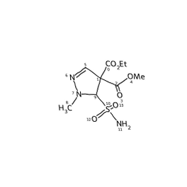 CCOC(=O)C1(C(=O)OC)C=NN(C)C1S(N)(=O)=O